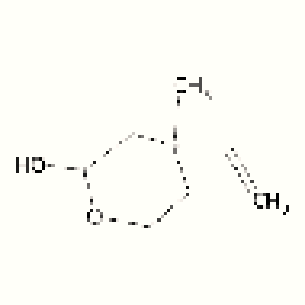 C=CC1(C)CCOC(O)C1